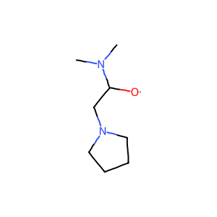 CN(C)C([O])CN1CCCC1